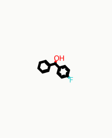 OC(C1=CCCC=C1)c1ccc(F)cc1